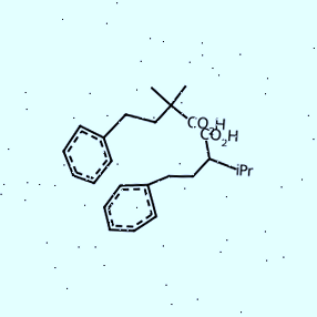 CC(C)(CCc1ccccc1)C(=O)O.CC(C)C(CCc1ccccc1)C(=O)O